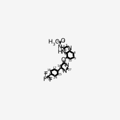 CC(=O)Nc1cnc2cccc(Oc3cc(-c4ccc(C(F)(F)F)cc4)ncn3)c2n1